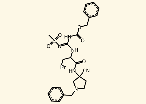 CC(C)CC(NC(=NS(C)(=O)=O)NC(=O)OCc1ccccc1)C(=O)NC1(C#N)CCN(Cc2ccccc2)C1